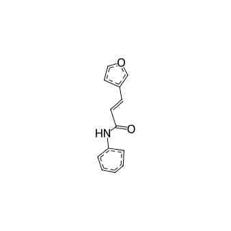 O=C(/C=C/c1ccoc1)Nc1ccccc1